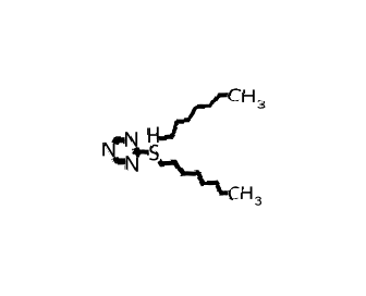 CCCCCCCC[SH](CCCCCCCC)c1ncncn1